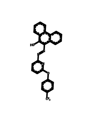 Oc1c(N=Nc2cccc(Oc3ccc(C(F)(F)F)cc3)n2)c2ccccc2c2ccccc12